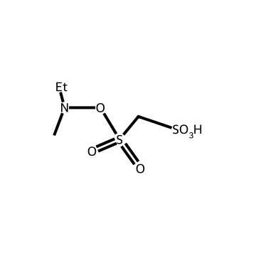 CCN(C)OS(=O)(=O)CS(=O)(=O)O